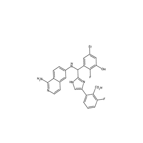 CCc1cc(O)c(F)c(C(Nc2ccc3c(N)nccc3c2)c2nc(-c3cccc(F)c3C(=O)O)c[nH]2)c1